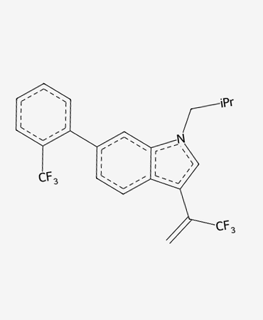 C=C(c1cn(CC(C)C)c2cc(-c3ccccc3C(F)(F)F)ccc12)C(F)(F)F